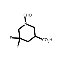 O=CN1CC(C(=O)O)CC(F)(F)C1